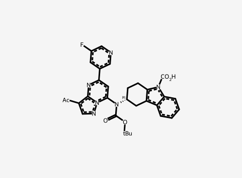 CC(=O)c1cnn2c(N(C(=O)OC(C)(C)C)[C@@H]3CCc4c(c5ccccc5n4C(=O)O)C3)cc(-c3cncc(F)c3)nc12